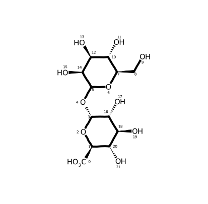 O=C(O)[C@H]1O[C@H](OC2O[C@H](CO)[C@@H](O)[C@H](O)[C@@H]2O)[C@H](O)[C@@H](O)[C@@H]1O